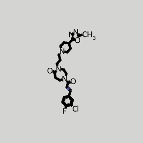 Cc1nnc(C2CCN(CCCN3CCN(C(=O)/C=C/c4ccc(F)c(Cl)c4)CCC3=O)CC2)o1